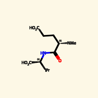 CN[C@@H](CCC(=O)O)C(=O)N[C@H](C(=O)O)C(C)C